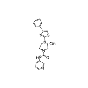 Cl.O=C(Nc1cccnc1)N1CCN(c2nc(-c3ccccc3)cs2)CC1